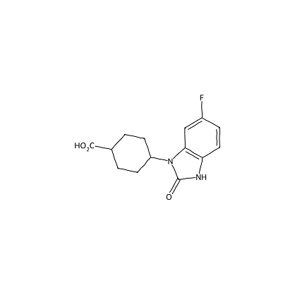 O=C(O)C1CCC(n2c(=O)[nH]c3ccc(F)cc32)CC1